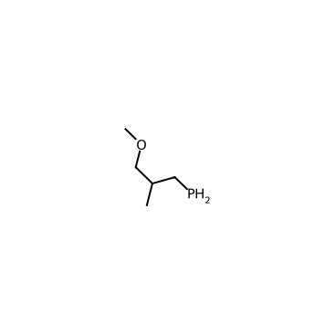 COCC(C)CP